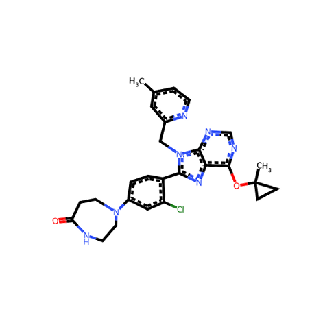 Cc1ccnc(Cn2c(-c3ccc(N4CCNC(=O)CC4)cc3Cl)nc3c(OC4(C)CC4)ncnc32)c1